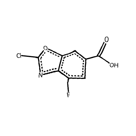 O=C(O)c1cc(F)c2nc(Cl)oc2c1